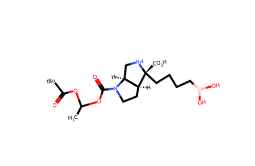 CC(OC(=O)N1CC[C@H]2[C@@H]1CN[C@@]2(CCCCB(O)O)C(=O)O)OC(=O)C(C)(C)C